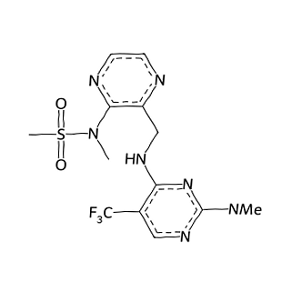 CNc1ncc(C(F)(F)F)c(NCc2nccnc2N(C)S(C)(=O)=O)n1